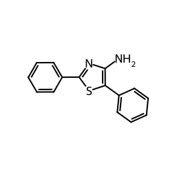 Nc1nc(-c2ccccc2)sc1-c1ccccc1